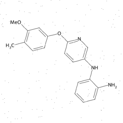 COc1cc(Oc2ccc(Nc3ccccc3N)cn2)ccc1C